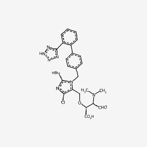 CCCCc1nc(Cl)c(CO[C@H](C(=O)O)C(C=O)N(C)C)n1Cc1ccc(-c2ccccc2-c2nn[nH]n2)cc1